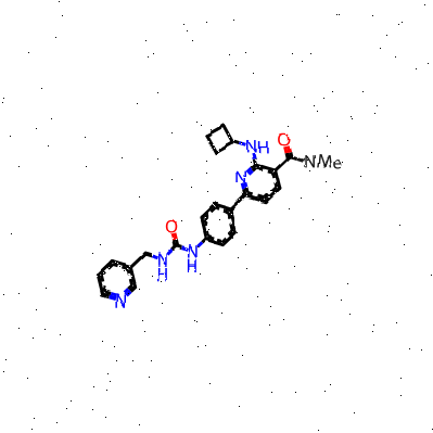 CNC(=O)c1ccc(-c2ccc(NC(=O)NCc3cccnc3)cc2)nc1NC1CCC1